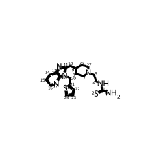 NC(=S)NCCN1CCC(Cc2nc3cccnc3n2Cc2cccs2)CC1